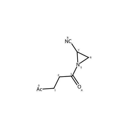 CC(=O)CCC(=O)N1CC1C#N